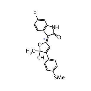 CSc1ccc(C2=C/C(=C3\C(=O)Nc4cc(F)ccc43)OC2(C)C)cc1